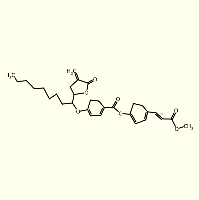 C=C1CC(C(CCCCCCCC)OC2=CC=C(C(=O)OC3=CC=C(/C=C/C(=O)OC)CC3)CC2)OC1=O